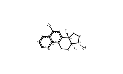 C[C@]12CCc3c(cc(O)c4ccccc34)[C@@H]1CC[C@@H]2O